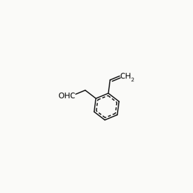 C=Cc1ccccc1CC=O